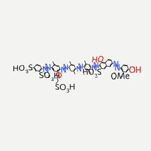 COc1cc(N=Nc2ccc3c(O)c(N=Nc4cc(C)c(N=Nc5cc(C)c(N=Nc6cc(C)c(N=Nc7ccc(S(=O)(=O)O)cc7S(=O)(=O)O)cc6OCCCS(=O)(=O)O)cc5C)cc4C)c(S(=O)(=O)O)cc3c2)ccc1O